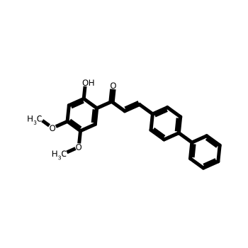 COc1cc(O)c(C(=O)/C=C/c2ccc(-c3ccccc3)cc2)cc1OC